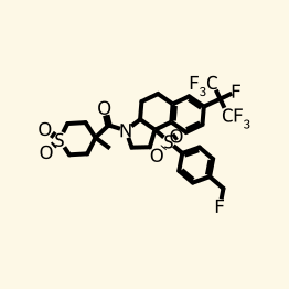 CC1(C(=O)N2CCC3(S(=O)(=O)c4ccc(CF)cc4)c4ccc(C(F)(C(F)(F)F)C(F)(F)F)cc4CCC23)CCS(=O)(=O)CC1